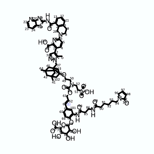 Cc1c(-c2ccc(N3CCc4cccc(C(=O)Nc5nc6ncccc6s5)c4C3)nc2C(=O)O)cnn1CC12CC3(C)CC(C)(C1)CC(OCCN(CCS(=O)(=O)O)C(=O)OC/C=C/c1ccc(O[C@@H]4O[C@H](C(=O)O)[C@@H](O)[C@H](O)[C@H]4O)c(NC(=O)CCNC(=O)CCCCCN4CC=CC4=O)c1)(C3)C2